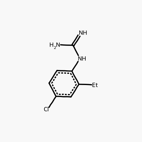 CCc1cc(Cl)ccc1NC(=N)N